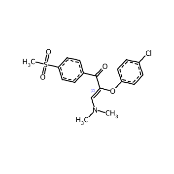 CN(C)/C=C(\Oc1ccc(Cl)cc1)C(=O)c1ccc(S(C)(=O)=O)cc1